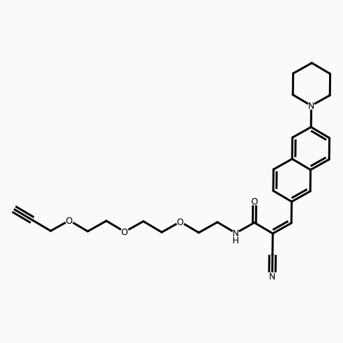 C#CCOCCOCCOCCNC(=O)C(C#N)=Cc1ccc2cc(N3CCCCC3)ccc2c1